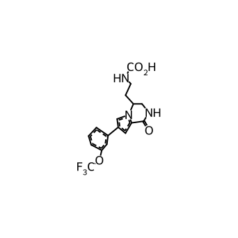 O=C(O)NCCC1CNC(=O)c2cc(-c3cccc(OC(F)(F)F)c3)cn21